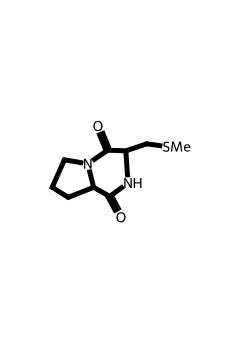 CSCC1NC(=O)C2CCCN2C1=O